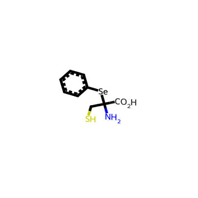 NC(CS)([Se]c1ccccc1)C(=O)O